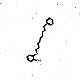 Oc1ccccc1OCCCCCCCCCc1ccccc1